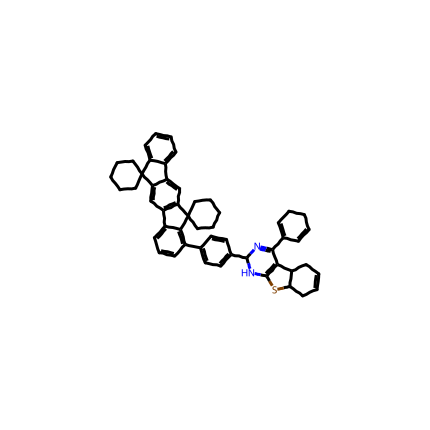 C1=CC(C2=NC(c3ccc(-c4cccc5c4C4(CCCCC4)c4cc6c(cc4-5)C4(CCCCC4)c4ccccc4-6)cc3)NC3=C2C2CC=CCC2S3)=CCC1